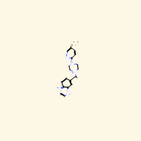 CSc1ccc(N2CCN(C(C)c3ccc4nccnc4c3)CC2)nc1